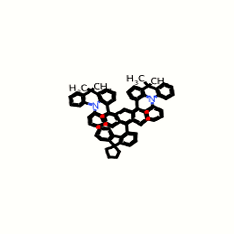 CC1(C)c2ccccc2N(c2ccccc2)c2c(-c3cccc4c(-c5cccc6c5-c5ccccc5C65CCCC5)c5cccc(-c6cccc7c6N(c6ccccc6)c6ccccc6C7(C)C)c5cc34)cccc21